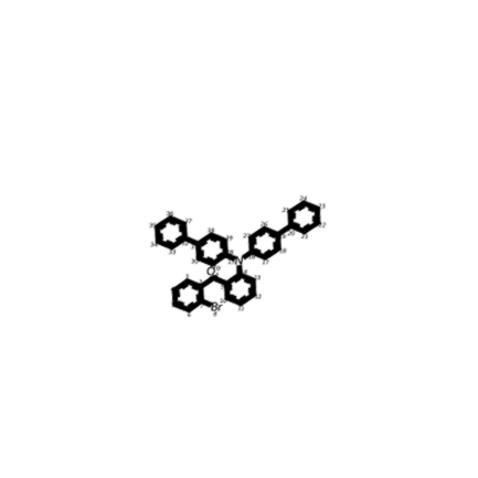 O=C(c1ccccc1Br)c1ccccc1N(c1ccc(-c2ccccc2)cc1)c1ccc(-c2ccccc2)cc1